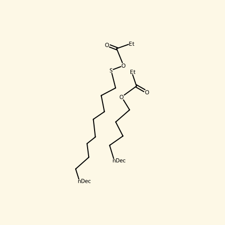 CCCCCCCCCCCCCCCCCCSOC(=O)CC.CCCCCCCCCCCCCCOC(=O)CC